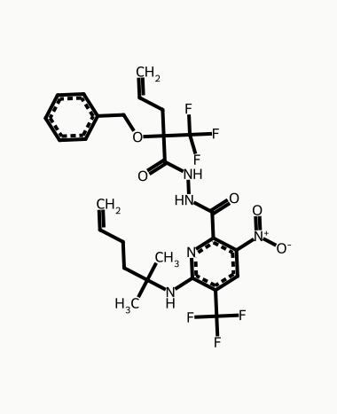 C=CCCC(C)(C)Nc1nc(C(=O)NNC(=O)C(CC=C)(OCc2ccccc2)C(F)(F)F)c([N+](=O)[O-])cc1C(F)(F)F